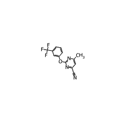 Cc1cc(C#N)nc(Oc2cccc(C(F)(F)F)c2)n1